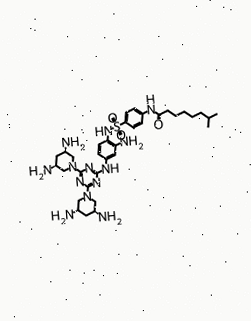 CC(C)CCCCCC(=O)Nc1ccc(S(=O)(=O)Nc2ccc(Nc3nc(N4C[C@H](N)C[C@H](N)C4)nc(N4C[C@H](N)C[C@H](N)C4)n3)cc2N)cc1